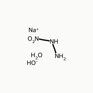 NN[N+](=O)[O-].O.[Na+].[OH-]